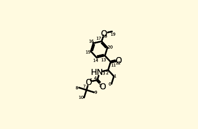 CCC(NC(=O)OC(C)(C)C)C(=O)c1cccc(OC)c1